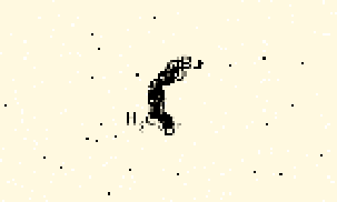 CC(=NOc1ccc(OC2CCN(C(=O)OC(C)(C)C)CC2)nn1)c1ccc(Br)s1